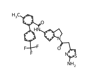 Cc1ccc(C(=O)Nc2ccc3c(c2)CCN3C(=O)Cc2csc(N)n2)c(-c2ccc(C(F)(F)F)cc2)c1